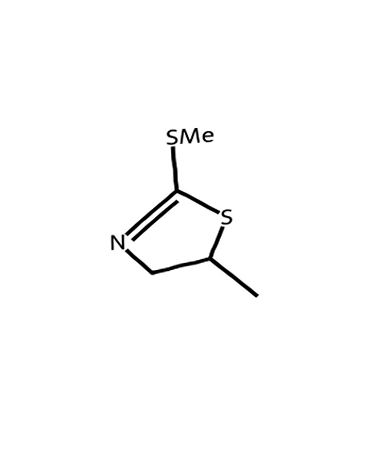 CSC1=NCC(C)S1